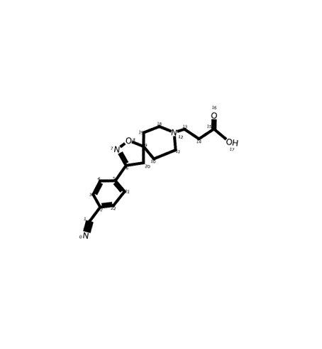 N#Cc1ccc(C2=NOC3(CCN(CCC(=O)O)CC3)C2)cc1